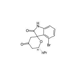 CCC[C@@H]1CC(=O)CC2(O1)C(=O)Nc1cccc(Br)c12